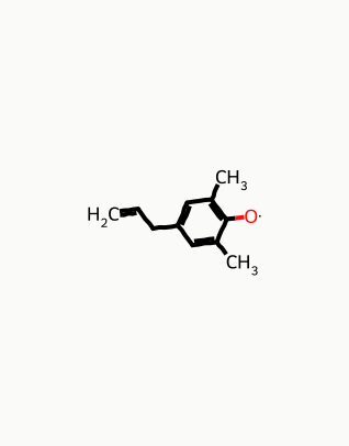 C=CCc1cc(C)c([O])c(C)c1